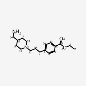 CCOC(=O)c1ccc(CCCN2CCC(CN)CC2)cc1